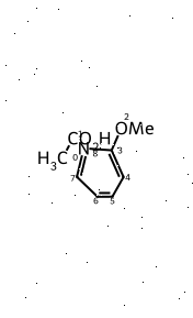 CC(=O)O.COc1ccccn1